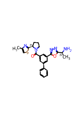 Cc1csc([C@H]2CCCN2C(=O)c2cc(-c3ccccc3)cc(-c3nnc([C@H](C)N)o3)c2)n1